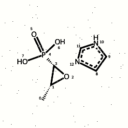 C[C@H]1O[C@H]1P(=O)(O)O.c1c[nH]cn1